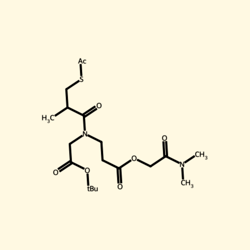 CC(=O)SCC(C)C(=O)N(CCC(=O)OCC(=O)N(C)C)CC(=O)OC(C)(C)C